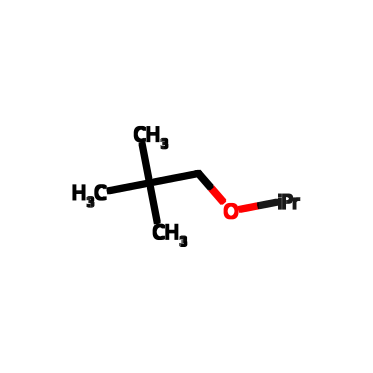 CC(C)OCC(C)(C)C